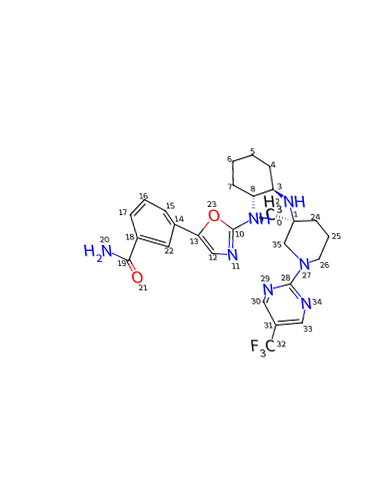 C[C@]1(N[C@@H]2CCCC[C@H]2Nc2ncc(-c3cccc(C(N)=O)c3)o2)CCCN(c2ncc(C(F)(F)F)cn2)C1